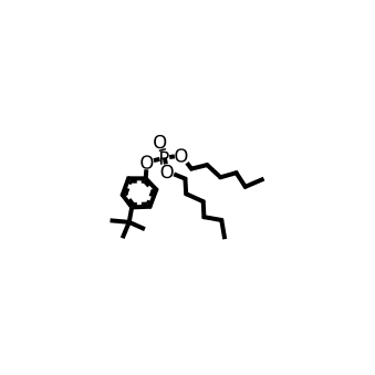 CCCCCCOP(=O)(OCCCCCC)Oc1ccc(C(C)(C)C)cc1